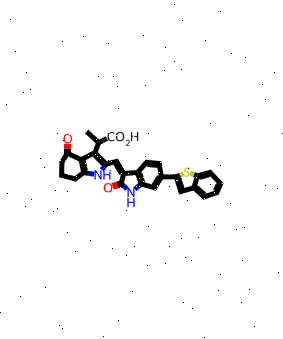 CC(C(=O)O)c1c(/C=C2\C(=O)Nc3cc(-c4cc5ccccc5s4)ccc32)[nH]c2c1C(=O)CCC2